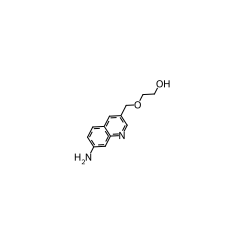 Nc1ccc2cc(COCCO)cnc2c1